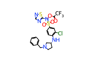 O=C(ON(c1ncns1)S(=O)(=O)c1ccc(N[C@@H]2CCN(Cc3ccccc3)C2)c(Cl)c1)C(F)(F)F